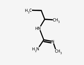 CCC(C)NC(N)=NC